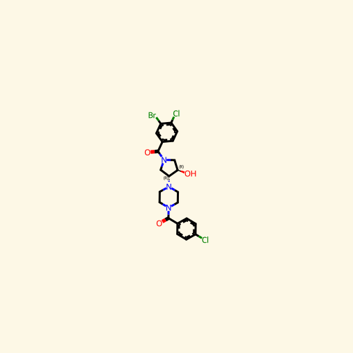 O=C(c1ccc(Cl)cc1)N1CCN([C@@H]2CN(C(=O)c3ccc(Cl)c(Br)c3)C[C@H]2O)CC1